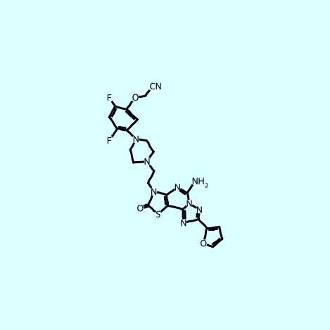 N#CCOc1cc(N2CCN(CCn3c(=O)sc4c3nc(N)n3nc(-c5ccco5)nc43)CC2)c(F)cc1F